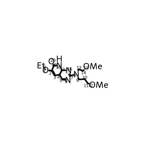 CCOC1=CC2C=NC(N(CCCOC)CCOC)=NC2NC1=O